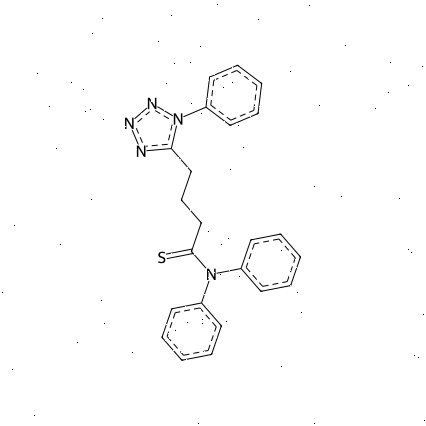 S=C(CCCc1nnnn1-c1ccccc1)N(c1ccccc1)c1ccccc1